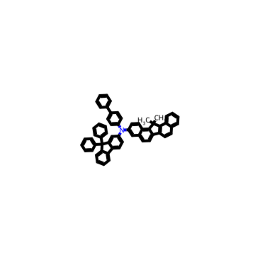 CC1(C)c2c(ccc3ccccc23)-c2ccc3cc(N(c4ccc(-c5ccccc5)cc4)c4ccc5c(c4)C(c4ccccc4)(c4ccccc4)c4ccccc4-5)ccc3c21